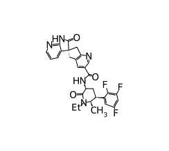 CCN1C(=O)[C@@H](NC(=O)c2cnc3c(c2)C[C@@]2(C3)C(=O)Nc3ncccc32)C[C@@H](c2cc(F)cc(F)c2F)[C@H]1C